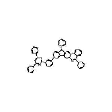 c1ccc(-c2nc(-c3ccccc3)nc(-c3cccc(-c4ccc5c(c4)c4cc6nc(-c7ccccc7)c7ccccc7c6cc4n5-c4ccccc4)c3)n2)cc1